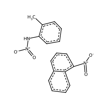 Cc1ccccc1N[N+](=O)[O-].O=[N+]([O-])c1cccc2ccccc12